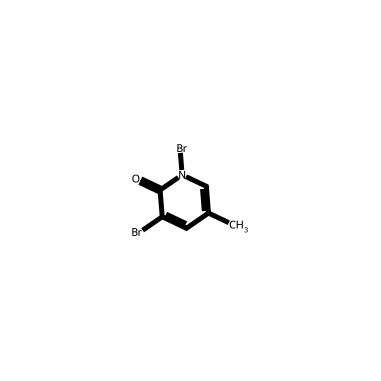 Cc1cc(Br)c(=O)n(Br)c1